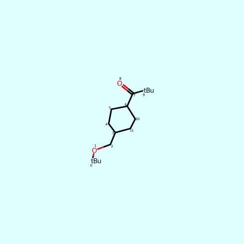 CC(C)(C)OCC1CCC(C(=O)C(C)(C)C)CC1